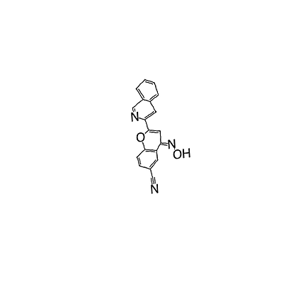 N#Cc1ccc2oc(-c3cc4ccccc4cn3)c/c(=N/O)c2c1